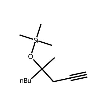 C#CCC(C)(CCCC)O[Si](C)(C)C